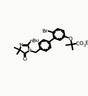 CCCCC1=NC(C)(C)C(=O)N1Cc1ccc(-c2cc(OC(C)(C)C(=O)OCC)ccc2Br)cc1